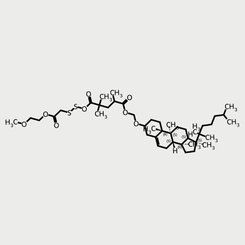 COCCOC(=O)CSSOC(=O)C(C)(C)CC(C)C(=O)OCOC1CC[C@@]2(C)C(=CC[C@H]3[C@]4(C)CC[C@](C)(C(C)(C)CCCC(C)C)[C@H]4CC[C@@]32C)C1